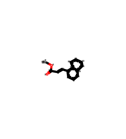 CC(C)(C)OC(=O)C=Cc1cccc2ccccc12